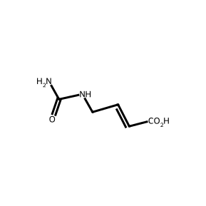 NC(=O)NCC=CC(=O)O